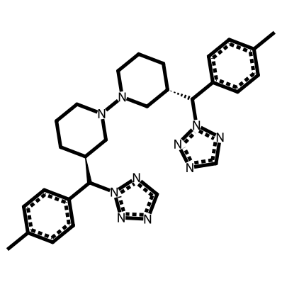 Cc1ccc(C([C@H]2CCCN(N3CCC[C@H](C(c4ccc(C)cc4)n4ncnn4)C3)C2)n2ncnn2)cc1